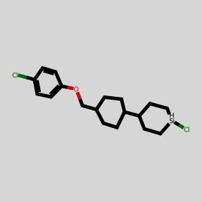 Clc1ccc(OCC2CCC(C3CC[SiH](Cl)CC3)CC2)cc1